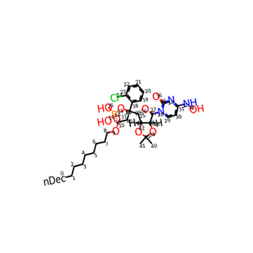 CCCCCCCCCCCCCCCCCCOCC[C@@](OP(=O)(O)O)(c1ccccc1Cl)[C@@H]1O[C@@H](n2ccc(NO)nc2=O)[C@@H]2OC(C)(C)O[C@@H]21